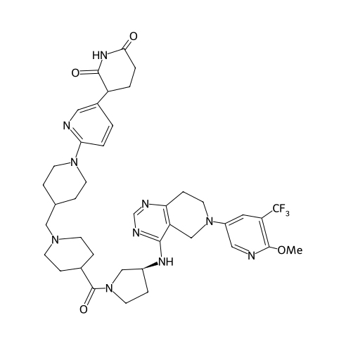 COc1ncc(N2CCc3ncnc(N[C@H]4CCN(C(=O)C5CCN(CC6CCN(c7ccc(C8CCC(=O)NC8=O)cn7)CC6)CC5)C4)c3C2)cc1C(F)(F)F